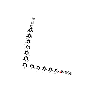 CO[n+]1c(C)cccc1C.CO[n+]1c(C)cccc1C.CO[n+]1c(C)cccc1C.CO[n+]1c(C)cccc1C.CO[n+]1c(C)cccc1C.CO[n+]1c(C)cccc1C.CO[n+]1c(C)cccc1C.CO[n+]1c(C)cccc1C.CO[n+]1c(C)cccc1C.CO[n+]1c(C)cccc1C.CO[n+]1c(C)cccc1C.CO[n+]1c(C)cccc1C.[O]=[Sb]([O-])([O-])[Cl].[O]=[Sb]([O-])([O-])[Cl].[O]=[Sb]([O-])([O-])[Cl].[O]=[Sb]([O-])([O-])[Cl].[O]=[Sb]([O-])([O-])[Cl].[O]=[Sb]([O-])([O-])[Cl]